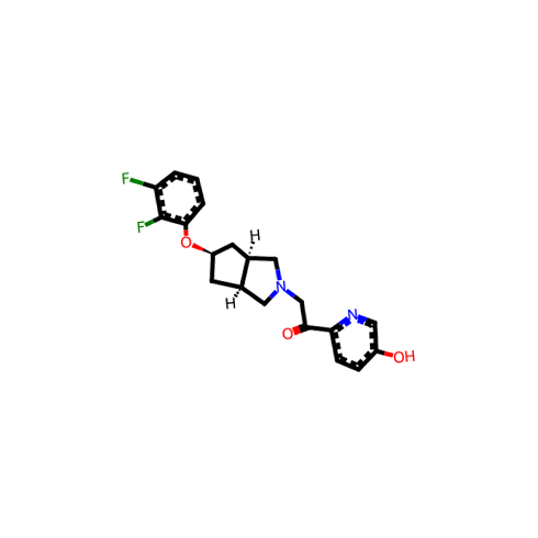 O=C(CN1C[C@H]2C[C@@H](Oc3cccc(F)c3F)C[C@H]2C1)c1ccc(O)cn1